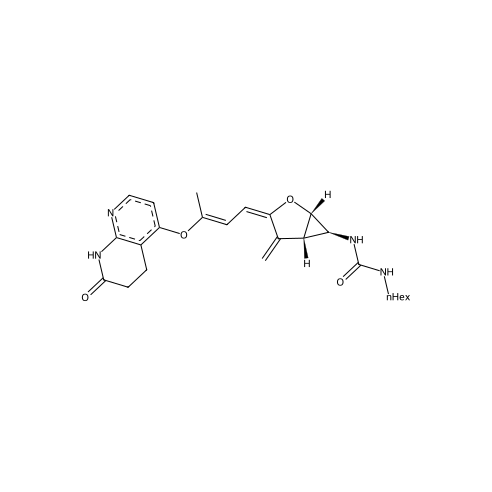 C=C1/C(=C\C=C(/C)Oc2ccnc3c2CCC(=O)N3)O[C@@H]2[C@@H](NC(=O)NCCCCCC)[C@H]12